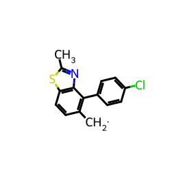 [CH2]c1ccc2sc(C)nc2c1-c1ccc(Cl)cc1